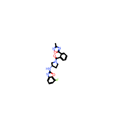 Cc1noc(-c2ccccc2C(=O)N2CC[C@@H](Nc3nc4cccc(F)c4o3)C2)n1